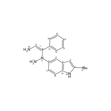 CC(C)(C)c1cc2cc(N(N)/C(=C\N)c3ccccc3)ccc2[nH]1